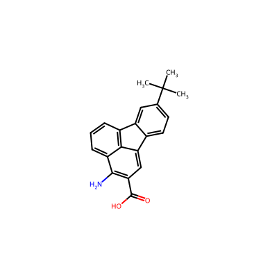 CC(C)(C)c1ccc2c(c1)-c1cccc3c(N)c(C(=O)O)cc-2c13